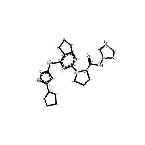 O=C(NN1CNCS1)[C@H]1CCCN1c1nc2c(c(Nc3cc(C4CCCC4)[nH]n3)n1)CCC2